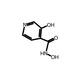 O=C(NO)c1ccncc1O